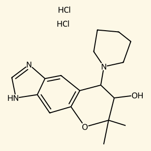 CC1(C)Oc2cc3[nH]cnc3cc2C(N2CCCCC2)C1O.Cl.Cl